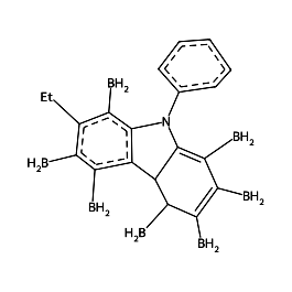 BC1=C(B)C(B)C2C(=C1B)N(c1ccccc1)c1c(B)c(CC)c(B)c(B)c12